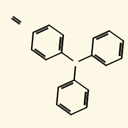 [O]=[Pd].c1ccc(P(c2ccccc2)c2ccccc2)cc1